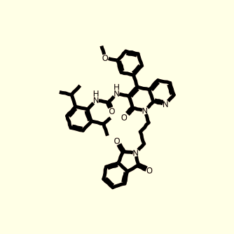 COc1cccc(-c2c(NC(=O)Nc3c(C(C)C)cccc3C(C)C)c(=O)n(CCCN3C(=O)c4ccccc4C3=O)c3ncccc23)c1